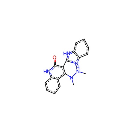 CNN(C)c1c(-c2nc3ccccc3[nH]2)c(=O)[nH]c2ccccc12